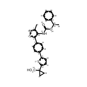 Cc1nsc(-c2ccc(-c3ccc(C4(C(=O)O)CC4)s3)cc2)c1NC(=O)O[C@H](C)c1ccccc1